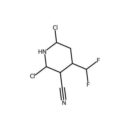 N#CC1C(Cl)NC(Cl)CC1C(F)F